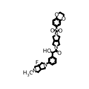 CN1CC2CN(c3cccc(C(O)C(=O)N4CC5=C(C4)CN(S(=O)(=O)c4ccc6c(c4)OCCO6)C5)c3)CC2(F)C1